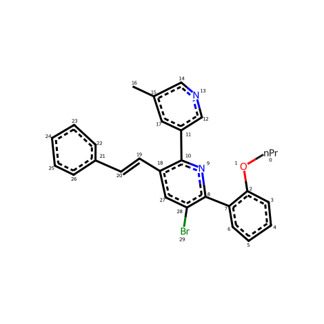 CCCOc1ccccc1-c1nc(-c2cncc(C)c2)c(/C=C/c2ccccc2)cc1Br